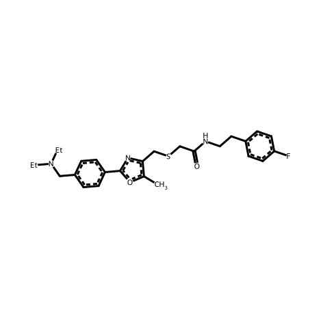 CCN(CC)Cc1ccc(-c2nc(CSCC(=O)NCCc3ccc(F)cc3)c(C)o2)cc1